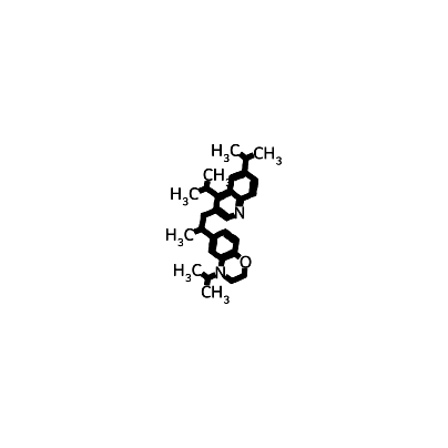 CC(C)c1ccc2ncc(CC(C)c3ccc4c(c3)N(C(C)C)CCO4)c(C(C)C)c2c1